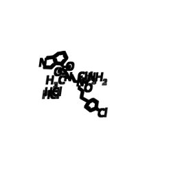 CN(CC[N+](C)(CC=Cc1ccc(Cl)cc1)C(N)=O)S(=O)(=O)c1cccc2cnccc12.Cl.Cl